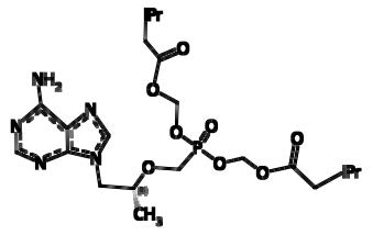 CC(C)CC(=O)OCOP(=O)(CO[C@H](C)Cn1cnc2c(N)ncnc21)OCOC(=O)CC(C)C